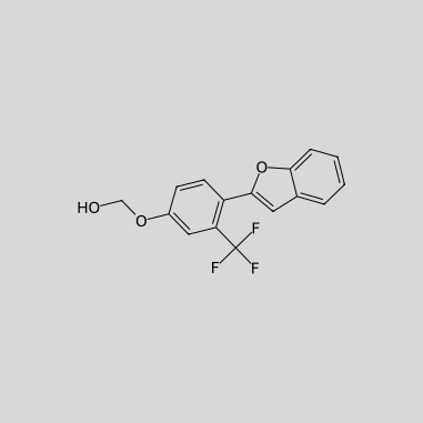 OCOc1ccc(-c2cc3ccccc3o2)c(C(F)(F)F)c1